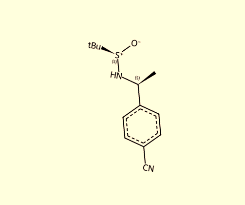 C[C@H](N[S@+]([O-])C(C)(C)C)c1ccc(C#N)cc1